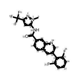 Cn1nc(C(F)(F)F)cc1NC(=O)c1ccc2cc(-c3c(F)cccc3F)cnc2c1